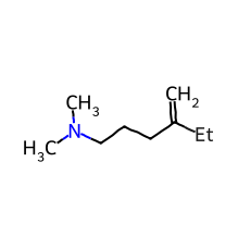 C=C(CC)CCCN(C)C